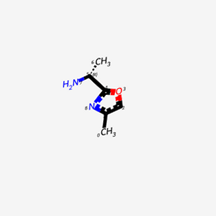 Cc1coc([C@@H](C)N)n1